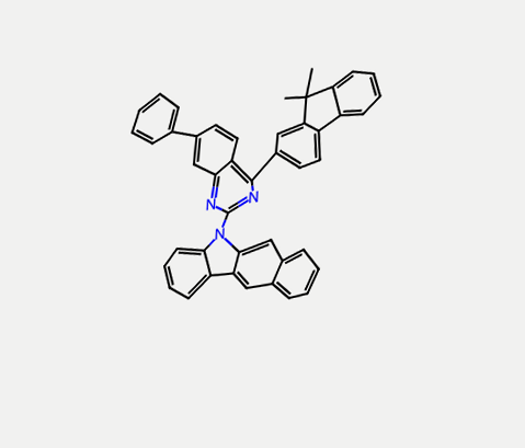 CC1(C)c2ccccc2-c2ccc(-c3nc(-n4c5ccccc5c5cc6ccccc6cc54)nc4cc(-c5ccccc5)ccc34)cc21